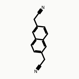 N#CCc1ccc2cc(CC#N)ccc2c1